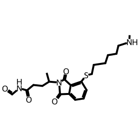 CNCCCCCCSc1cccc2c1C(=O)N(C(C)CCC(=O)NC=O)C2=O